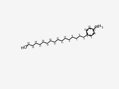 Nc1ccc(CCCCCCCCCCCCCCCCO)cc1